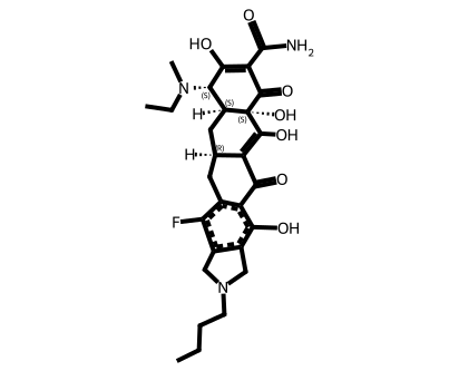 CCCCN1Cc2c(O)c3c(c(F)c2C1)C[C@H]1C[C@H]2[C@H](N(C)CC)C(O)=C(C(N)=O)C(=O)[C@@]2(O)C(O)=C1C3=O